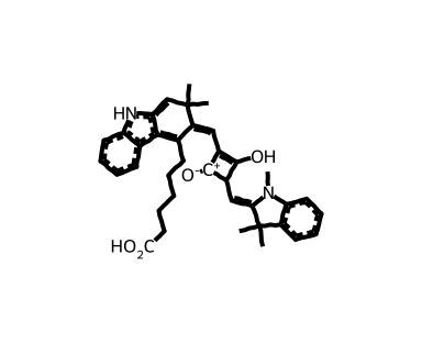 CN1C(=CC2C(O)=C(C=C3C(CCCCCC(=O)O)=c4c([nH]c5ccccc45)=CC3(C)C)[C+]2[O-])C(C)(C)c2ccccc21